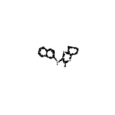 Clc1nc2ccccc2nc1Nc1ccc2ccccc2c1